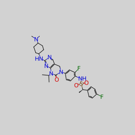 CC(C)N1C(=O)N(c2ccc(NS(=O)(=O)[C@H](C)c3ccc(F)cc3)c(F)c2)Cc2cnc(NC3CCC(N(C)C)CC3)nc21